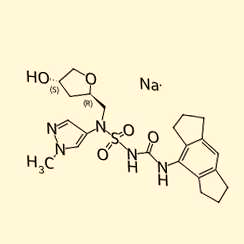 Cn1cc(N(C[C@H]2C[C@H](O)CO2)S(=O)(=O)NC(=O)Nc2c3c(cc4c2CCC4)CCC3)cn1.[Na]